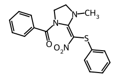 CN1CCN(C(=O)c2ccccc2)C1=C(Sc1ccccc1)[N+](=O)[O-]